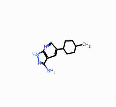 CC1CCC(c2cnc3[nH]nc(N)c3c2)CC1